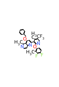 Cc1c(Oc2ncc(C(F)(F)F)c(C)c2-c2cc(OCc3ccccc3)c3c(C)nccc3n2)ccc(F)c1F